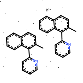 Cc1ccc2ccccc2c1-c1ccccn1.Cc1ccc2ccccc2c1-c1ccccn1.[Ir+3]